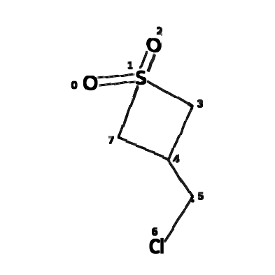 O=S1(=O)CC([CH]Cl)C1